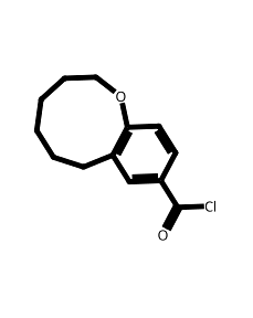 O=C(Cl)c1ccc2c(c1)CCCCCCO2